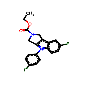 CCOC(=O)N1Cc2c(n(-c3ccc(F)cc3)c3ccc(F)cc23)C1